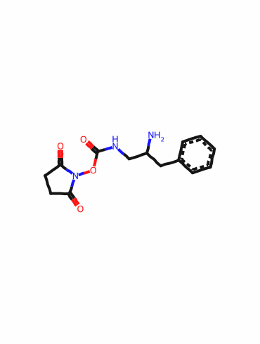 NC(CNC(=O)ON1C(=O)CCC1=O)Cc1ccccc1